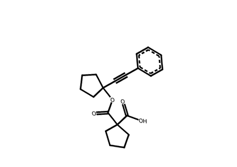 O=C(O)C1(C(=O)OC2(C#Cc3ccccc3)CCCC2)CCCC1